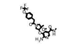 CNC(=O)c1cnc(N)c(OC2CN(C(=O)Cc3ccc(OC(F)(F)F)cc3)CC2(C)OC)c1